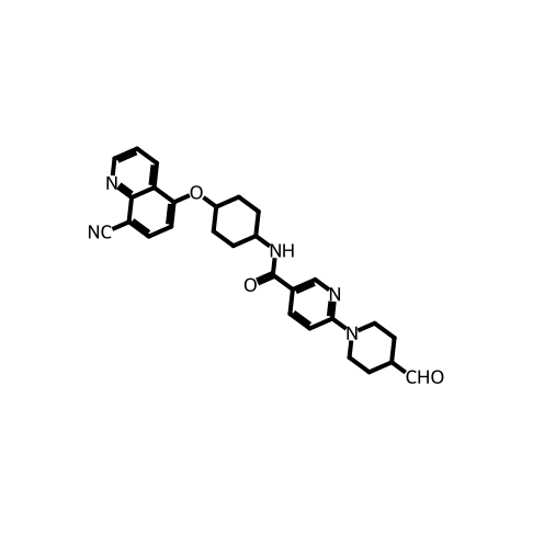 N#Cc1ccc(OC2CCC(NC(=O)c3ccc(N4CCC(C=O)CC4)nc3)CC2)c2cccnc12